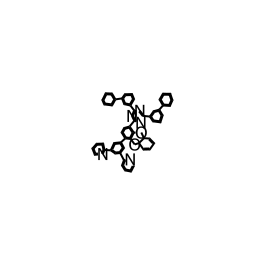 C1=CC2Oc3c(-c4cc(-c5ccccn5)cc(-c5ccccn5)c4)ccc(-c4nc(-c5cccc(-c6ccccc6)c5)nc(-c5cccc(-c6ccccc6)c5)n4)c3OC2C=C1